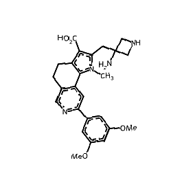 COc1cc(OC)cc(-c2cc3c(cn2)CCc2c(C(=O)O)c(CC4(N)CNC4)n(C)c2-3)c1